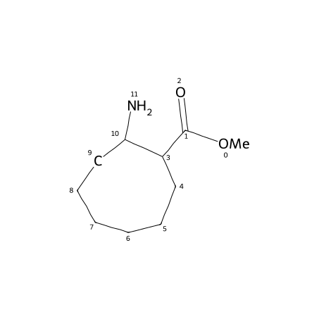 COC(=O)C1CCCCCCC1N